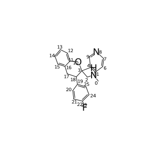 CNCC1(c2cccnc2)Oc2ccccc2CC1c1ccc(F)cc1